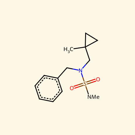 CNS(=O)(=O)N(Cc1ccccc1)CC1(C)CC1